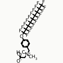 C[N+](C)(CC(=O)[O-])Cc1ccc(OC(F)(F)C(F)(F)C(F)(F)C(F)(F)C(F)(F)C(F)(F)C(F)(F)C(F)(F)C(F)(F)F)cc1